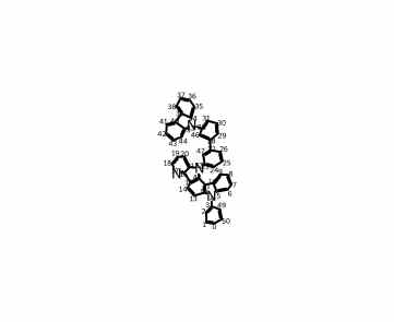 c1ccc(-n2c3ccccc3c3c2ccc2c4ncccc4n(-c4cccc(-c5cccc(-n6c7ccccc7c7ccccc76)c5)c4)c23)cc1